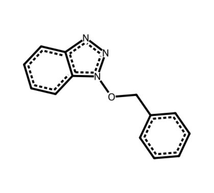 c1ccc(COn2nnc3ccccc32)cc1